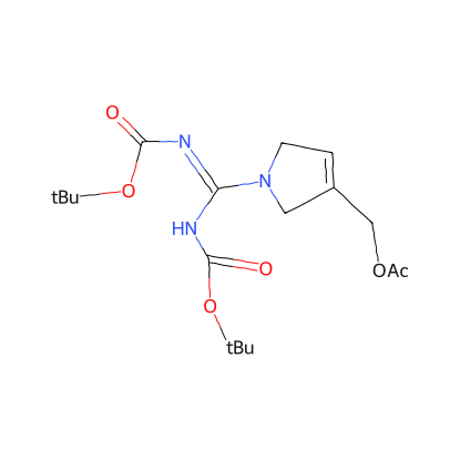 CC(=O)OCC1=CCN(C(=NC(=O)OC(C)(C)C)NC(=O)OC(C)(C)C)C1